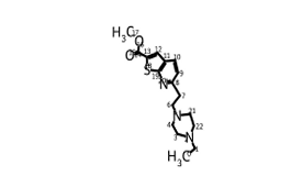 CCN1CCN(CCc2ccc3cc(C(=O)OC)sc3n2)CC1